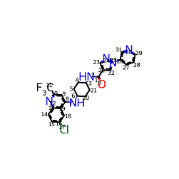 O=C(N[C@H]1CC[C@@H](Nc2cc(C(F)(F)F)nc3ccc(Cl)cc23)CC1)c1cnn(-c2cccnc2)c1